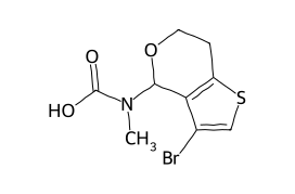 CN(C(=O)O)C1OCCc2scc(Br)c21